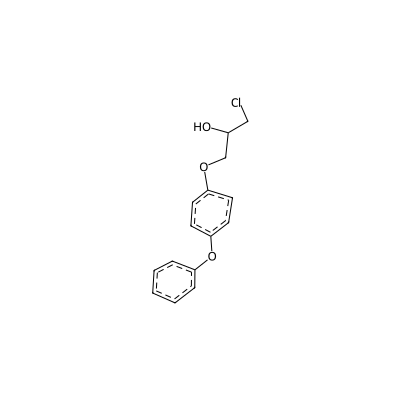 OC(CCl)COc1ccc(Oc2ccccc2)cc1